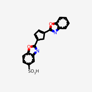 O=S(=O)(O)c1ccc2oc(C3=CC=C(c4nc5ccccc5o4)C3)nc2c1